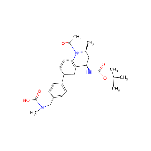 CC(=O)N1c2ccc(-c3ccc(CN(C)C(=O)O)cc3)cc2[C@H](NC(=O)OC(C)(C)C)C[C@@H]1C